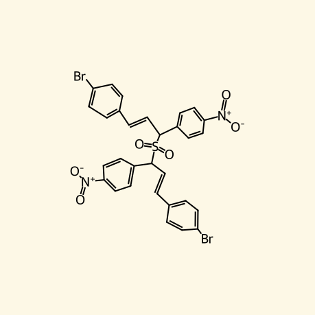 O=[N+]([O-])c1ccc(C(C=Cc2ccc(Br)cc2)S(=O)(=O)C(C=Cc2ccc(Br)cc2)c2ccc([N+](=O)[O-])cc2)cc1